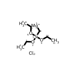 CCO[Si]([CH2][Mg+])(OCC)OCC.[Cl-]